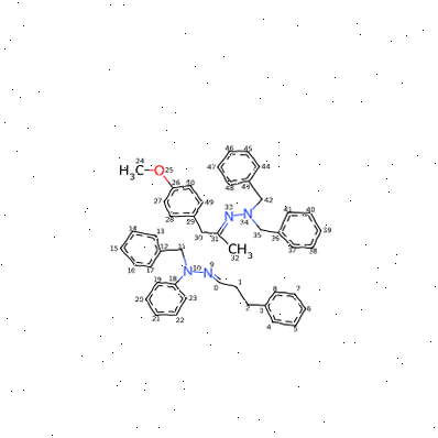 C(CCc1ccccc1)=NN(Cc1ccccc1)c1ccccc1.COc1ccc(CC(C)=NN(Cc2ccccc2)Cc2ccccc2)cc1